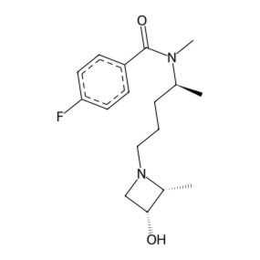 C[C@@H]1[C@H](O)CN1CCC[C@H](C)N(C)C(=O)c1ccc(F)cc1